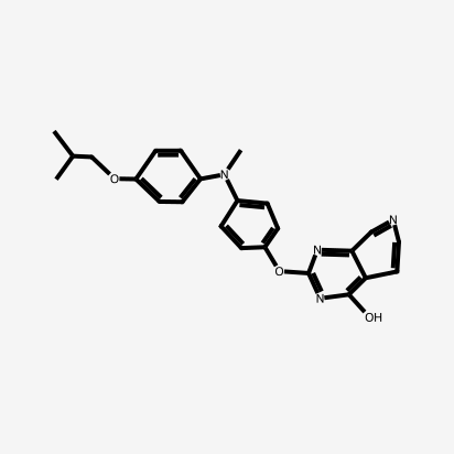 CC(C)COc1ccc(N(C)c2ccc(Oc3nc(O)c4ccncc4n3)cc2)cc1